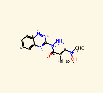 CCCCCC[C@H](CN(O)C=O)C(=O)N(N)c1nnc2ccccc2n1